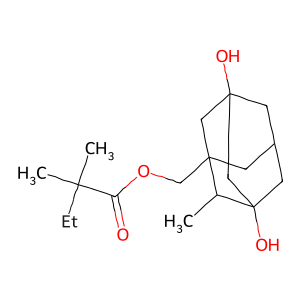 CCC(C)(C)C(=O)OCC12CC3CC(O)(CC(O)(C3)C1C)C2